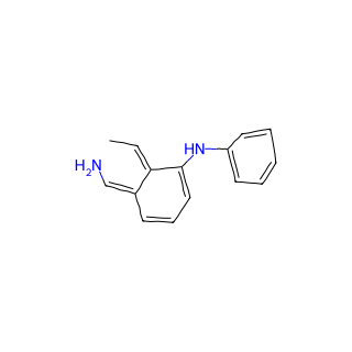 C/C=c1/c(Nc2ccccc2)ccc/c1=C/N